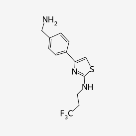 NCc1ccc(-c2csc(NCCC(F)(F)F)n2)cc1